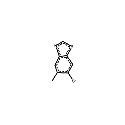 Cc1cc2ncsc2cc1Br